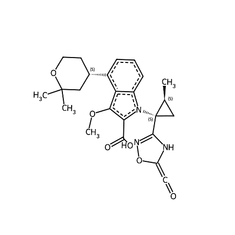 COc1c(C(=O)O)n([C@@]2(C3=NOC(=C=O)N3)C[C@@H]2C)c2cccc([C@H]3CCOC(C)(C)C3)c12